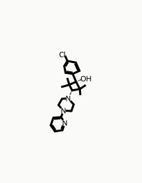 CC1(C)[C@H](N2CCN(c3ccccn3)CC2)C(C)(C)[C@@]1(O)c1ccc(Cl)cc1